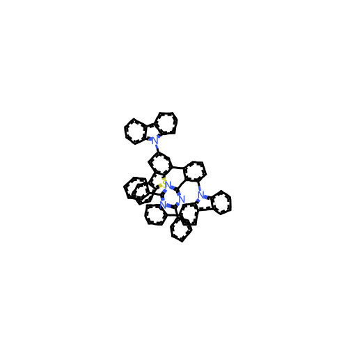 c1ccc(-c2ccc3c4ccccc4n(-c4cccc(-c5cc(-n6c7ccccc7c7ccccc76)cc6c5sc5ccccc56)c4-c4nc(-c5ccccc5)nc(-c5ccccc5)n4)c3c2)cc1